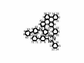 c1ccc(-c2ccc(-c3nc(-c4ccccc4)nc(-c4cccc(-c5ccc6c(c5)c5ccccc5c5cccc(-c7ccc8c(c7)c7ccccc7n8-c7ccc(-c8ccccc8)cc7)c56)c4)n3)cc2)cc1